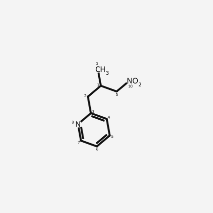 CC(Cc1ccccn1)C[N+](=O)[O-]